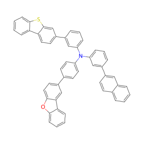 c1cc(-c2ccc3ccccc3c2)cc(N(c2ccc(-c3ccc4oc5ccccc5c4c3)cc2)c2cccc(-c3ccc4c(c3)sc3ccccc34)c2)c1